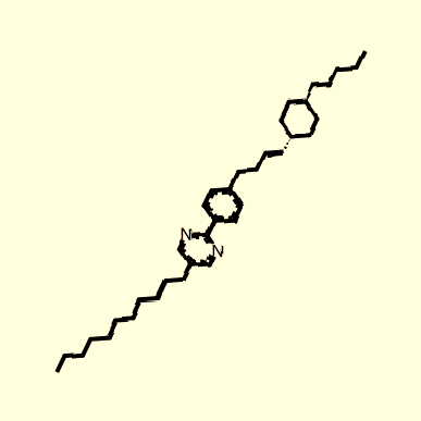 CCCCCCCCCCCc1cnc(-c2ccc(CCC=C[C@H]3CC[C@H](CCCCC)CC3)cc2)nc1